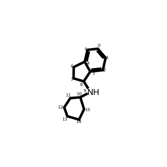 c1ccc2c(c1)CCC2NC1CCCCC1